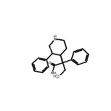 CCC(C(N)=O)(c1ccccc1)C1CCNCC1c1ccccc1